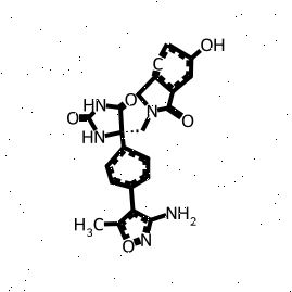 Cc1onc(N)c1-c1ccc([C@@]2(CN3Cc4ccc(O)cc4C3=O)NC(=O)NC2=O)cc1